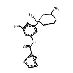 CC1(c2cc(Br)cc(NC(=O)c3ccco3)c2)CCSC(N)=N1